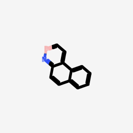 b1ccc2c(ccc3ccccc32)n1